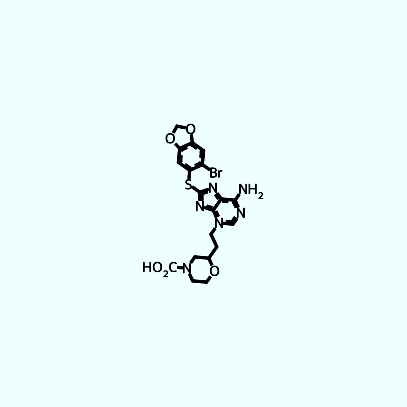 Nc1ncn(CCC2CN(C(=O)O)CCO2)c2nc(Sc3cc4c(cc3Br)OCO4)nc1-2